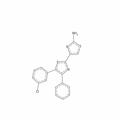 Nc1nc(-c2nc(-c3ccccc3)c(-c3cccc(Cl)c3)s2)cs1